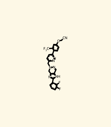 N#CCOc1ccc(-c2ccc(CN3Cc4nc(-c5cccc(F)c5F)[nH]c4C=N3)nn2)c(C(F)(F)F)c1